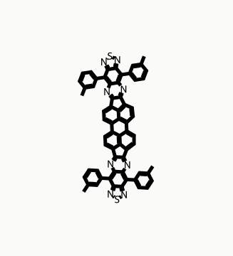 Cc1cccc(-c2c3nsnc3c(-c3cccc(C)c3)c3nc4c(nc23)-c2ccc3c5ccc6c7c(ccc(c8ccc-4c2c38)c75)-c2nc3c(-c4cccc(C)c4)c4nsnc4c(-c4cccc(C)c4)c3nc2-6)c1